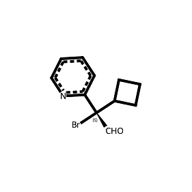 O=C[C@@](Br)(c1ccccn1)C1CCC1